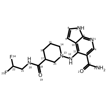 NC(=O)c1cnc2[nH]ccc2c1NN1CCCC(C(=O)NCC(F)F)C1